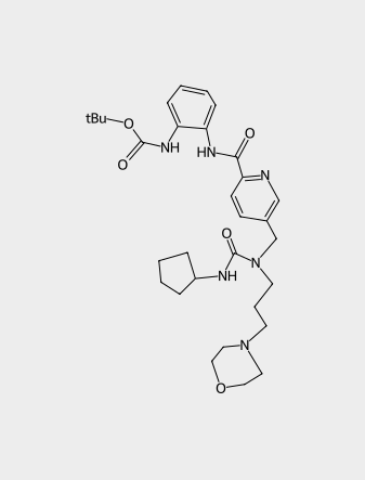 CC(C)(C)OC(=O)Nc1ccccc1NC(=O)c1ccc(CN(CCCN2CCOCC2)C(=O)NC2CCCC2)cn1